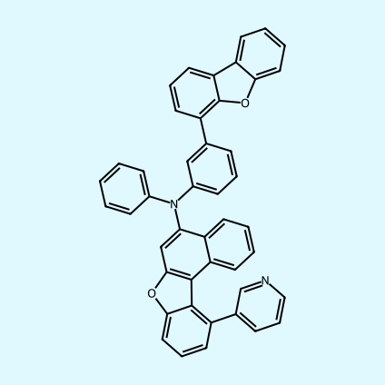 c1ccc(N(c2cccc(-c3cccc4c3oc3ccccc34)c2)c2cc3oc4cccc(-c5cccnc5)c4c3c3ccccc23)cc1